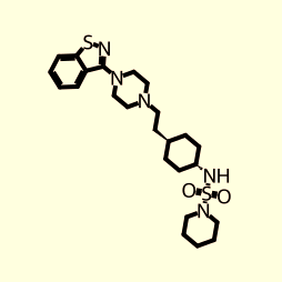 O=S(=O)(N[C@H]1CC[C@H](CCN2CCN(c3nsc4ccccc34)CC2)CC1)N1CCCCC1